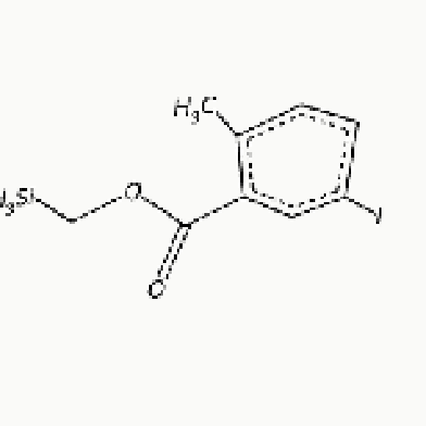 Cc1ccc(I)cc1C(=O)OC[SiH3]